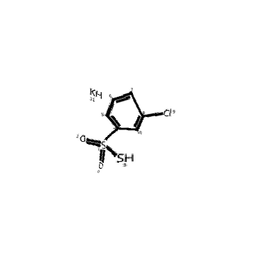 O=S(=O)(S)c1cccc(Cl)c1.[KH]